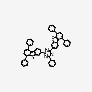 c1ccc(-c2nc(-c3ccc4c(c3)sc3c(-c5ccccc5)ccc(-c5ccccc5)c34)nc(-c3ccc4c(c3)sc3c(-c5ccccc5)ccc(-c5ccccc5)c34)n2)cc1